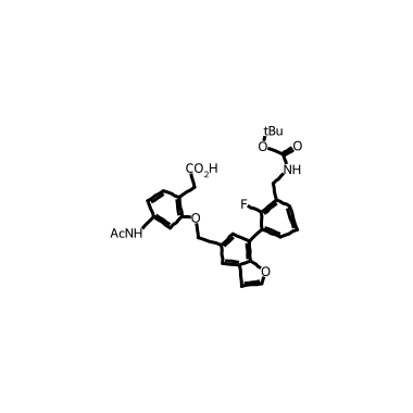 CC(=O)Nc1ccc(CC(=O)O)c(OCc2cc(-c3cccc(CNC(=O)OC(C)(C)C)c3F)c3occc3c2)c1